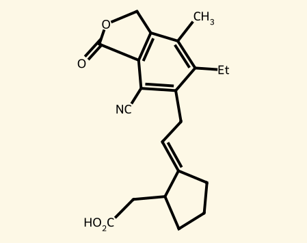 CCc1c(C)c2c(c(C#N)c1CC=C1CCCC1CC(=O)O)C(=O)OC2